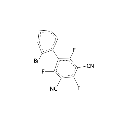 N#Cc1c(F)c(C#N)c(F)c(-c2ccccc2Br)c1F